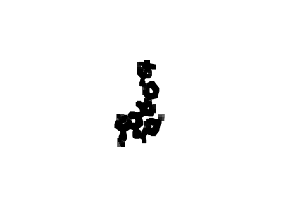 Cc1c(-c2cc(O[C@H](C)c3ccc(F)cn3)c3c(C#N)cnn3c2)cnn1[C@H]1CCCN(C[C@H]2COC(C)(C)O2)C1